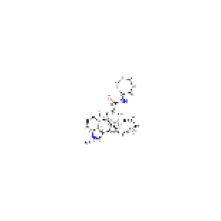 CCCn1cc2c3c(cccc31)[C@H]1C[C@@H](C(=O)NC3CCCCCC3)CN(C)[C@@H]1C2.O=C(O)/C=C\C(=O)O